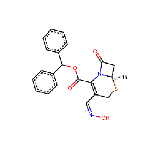 O=C(OC(c1ccccc1)c1ccccc1)C1=C(/C=N\O)CS[C@@H]2CC(=O)N12